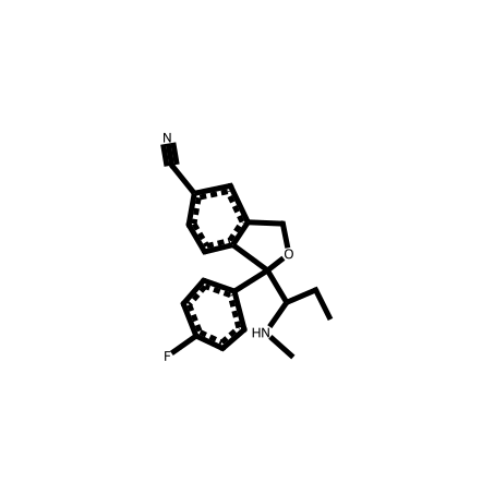 CCC(NC)C1(c2ccc(F)cc2)OCc2cc(C#N)ccc21